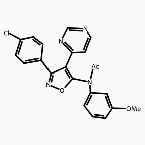 COc1cccc(N(C(C)=O)c2onc(-c3ccc(Cl)cc3)c2-c2ccncn2)c1